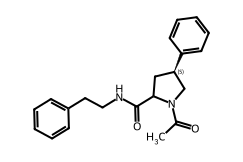 CC(=O)N1C[C@H](c2ccccc2)CC1C(=O)NCCc1ccccc1